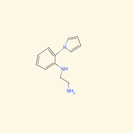 NCCNc1ccccc1-n1cccc1